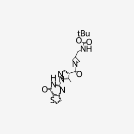 Cc1c(C(=O)N2CC(CNC(=O)OC(C)(C)C)C2)cnn1-c1nc2ccsc2c(=O)[nH]1